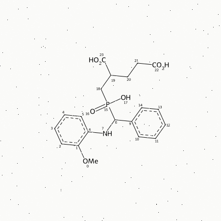 COc1ccccc1NC(c1ccccc1)P(=O)(O)CC(CCC(=O)O)C(=O)O